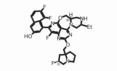 CCC1CN2c3nc(OCC45CCCN4C[C@@H](F)C5)nc4c(F)c(-c5cc(O)cc6ccc(F)c(F)c56)nc(c34)OC[C@H]2CN1